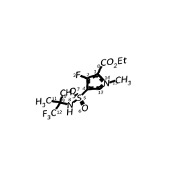 CCOC(=O)c1c(F)c(S(=O)(=O)NC(C)(C)C(F)(F)F)cn1C